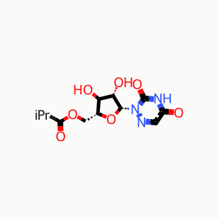 CC(C)C(=O)OC[C@H]1O[C@@H](n2ncc(=O)[nH]c2=O)[C@@H](O)C1O